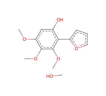 CO.COc1cc(O)c(-c2ccco2)c(OC)c1OC